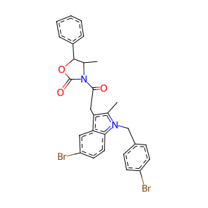 Cc1c(CC(=O)N2C(=O)OC(c3ccccc3)C2C)c2cc(Br)ccc2n1Cc1ccc(Br)cc1